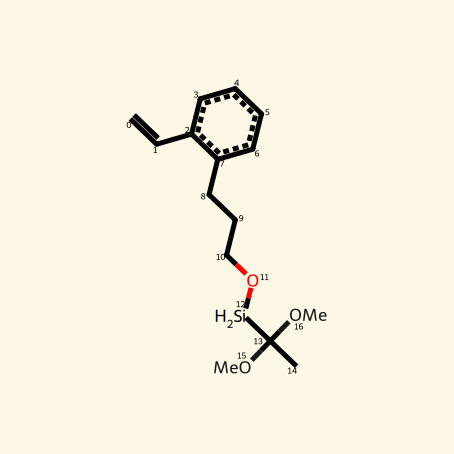 C=Cc1ccccc1CCCO[SiH2]C(C)(OC)OC